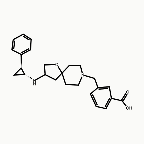 O=C(O)c1cccc(CN2CCC3(CC2)CC(N[C@@H]2C[C@H]2c2ccccc2)CO3)c1